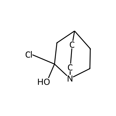 OC1(Cl)CC2CCN1CC2